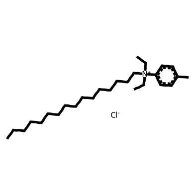 CCCCCCCCCCCCCCCC[N+](CC)(CC)c1ccc(C)cc1.[Cl-]